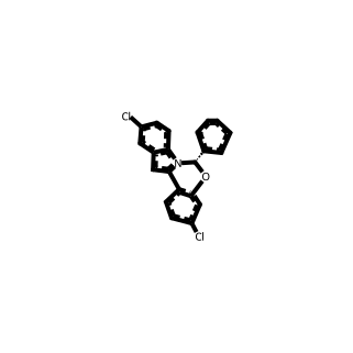 Clc1ccc2c(c1)O[C@@H](c1ccccc1)n1c-2cc2cc(Cl)ccc21